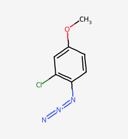 COc1ccc(N=[N+]=[N-])c(Cl)c1